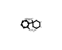 CCCCCCCC1(c2ccccc2C(=O)O)CCCCC1